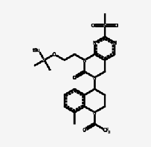 Cc1cccc2c1N(C(=O)C(F)(F)F)CCC2N1Cc2cnc(S(C)(=O)=O)nc2N(CCO[Si](C)(C)C(C)(C)C)C1=O